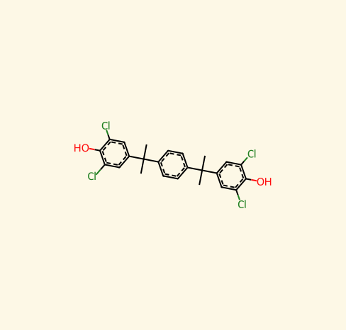 CC(C)(c1ccc(C(C)(C)c2cc(Cl)c(O)c(Cl)c2)cc1)c1cc(Cl)c(O)c(Cl)c1